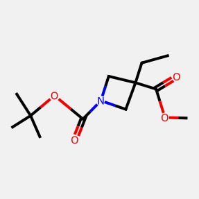 CCC1(C(=O)OC)CN(C(=O)OC(C)(C)C)C1